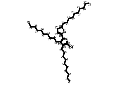 CCCCCCCCCCc1c(Br)sc(C2=CCC(CCCCCCCCCC)S2)c1CCCCCCCCCC